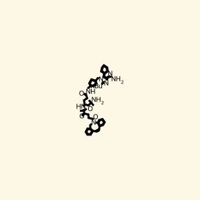 CCCCc1nc2c(N)nc3ccccc3c2n1Cc1ccc(CNC(=O)CCC(NC(C)(C)C(=O)CCC(=O)N2Cc3ccccc3C#Cc3ccccc32)C(=O)C(C)(C)N)cc1